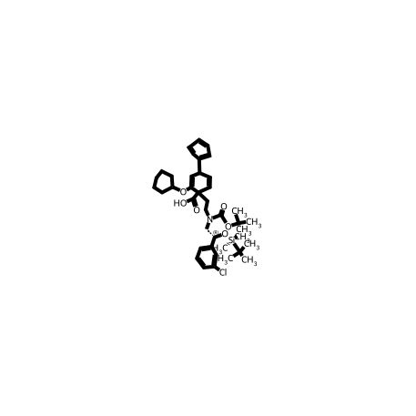 CC(C)(C)OC(=O)N(CCC1(C(=O)O)C=CC(c2ccccc2)C=C1OC1CCCCC1)C[C@H](O[Si](C)(C)C(C)(C)C)c1cccc(Cl)c1